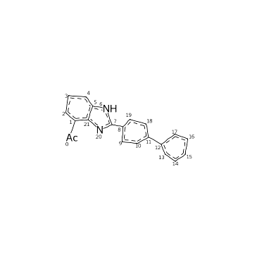 CC(=O)c1cccc2[nH]c(-c3ccc(-c4ccccc4)cc3)nc12